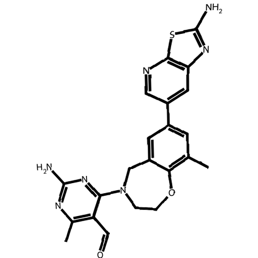 Cc1cc(-c2cnc3sc(N)nc3c2)cc2c1OCCN(c1nc(N)nc(C)c1C=O)C2